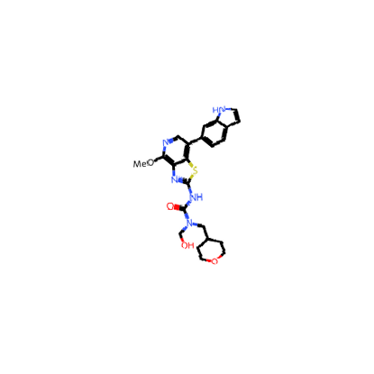 COc1ncc(-c2ccc3cc[nH]c3c2)c2sc(NC(=O)N(CO)CC3CCOCC3)nc12